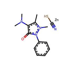 Cc1c(N(C)C)c(=O)n(-c2ccccc2)n1C.N#CS.[Zn]